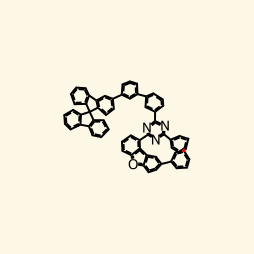 c1ccc(-c2ccc3oc4cccc(-c5nc(-c6ccccc6)nc(-c6cccc(-c7cccc(-c8ccc9c(c8)-c8ccccc8C98c9ccccc9-c9ccccc98)c7)c6)n5)c4c3c2)cc1